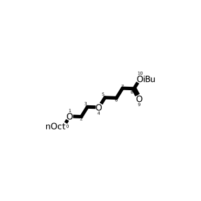 CCCCCCCCOCCOCCCC(=O)OCC(C)C